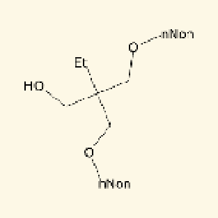 CCCCCCCCCOCC(CC)(CO)COCCCCCCCCC